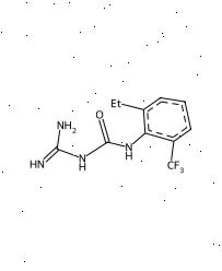 CCc1cccc(C(F)(F)F)c1NC(=O)NC(=N)N